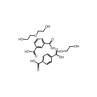 O=C(O)c1ccc(C(=O)O)cc1.O=C(O)c1cccc(C(=O)O)c1.OCCO.OCCOCCO